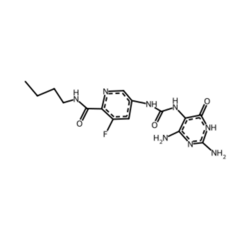 CCCCNC(=O)c1ncc(NC(=O)Nc2c(N)nc(N)[nH]c2=O)cc1F